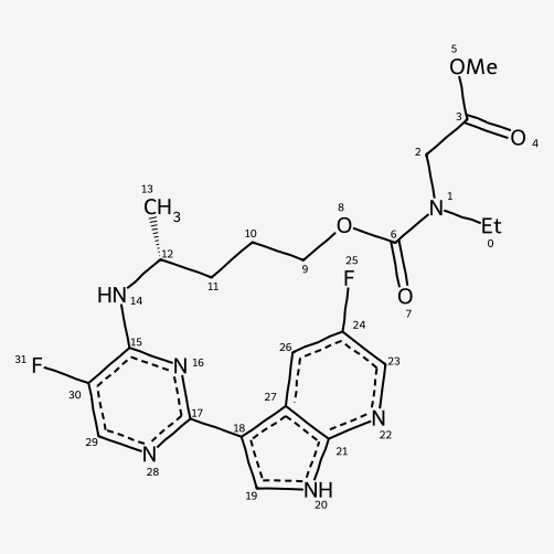 CCN(CC(=O)OC)C(=O)OCCC[C@@H](C)Nc1nc(-c2c[nH]c3ncc(F)cc23)ncc1F